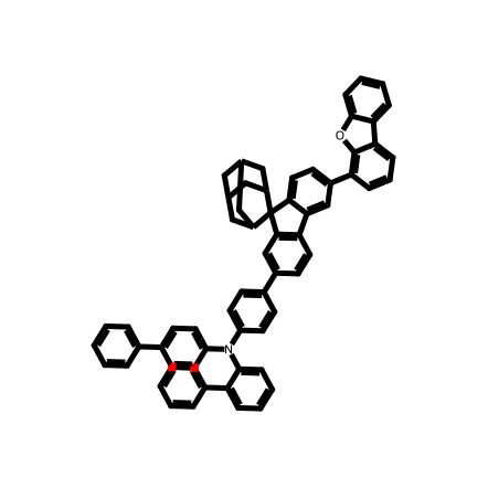 c1ccc(-c2ccc(N(c3ccc(-c4ccc5c(c4)C4(c6ccc(-c7cccc8c7oc7ccccc78)cc6-5)C5CC6CC(C5)CC4C6)cc3)c3ccccc3-c3ccccc3)cc2)cc1